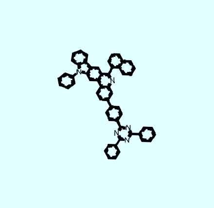 c1ccc(-c2nc(-c3ccccc3)nc(-c3ccc(-c4ccc5c(c4)nc(-c4cccc6ccccc46)c4cc6c7ccccc7n(-c7ccccc7)c6cc45)cc3)n2)cc1